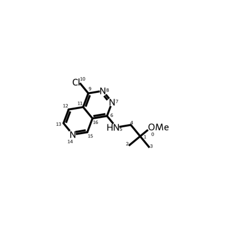 COC(C)(C)CNc1nnc(Cl)c2ccncc12